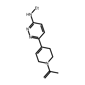 C=C(C)N1CC=C(c2ccc(NCC)nn2)CC1